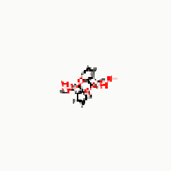 OC[C@H]1CCC[C@]12OC(O)[C@@]1(CCC[C@@H]1CO)OC2O